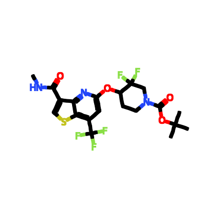 CNC(=O)c1csc2c(C(F)(F)F)cc(OC3CCN(C(=O)OC(C)(C)C)CC3(F)F)nc12